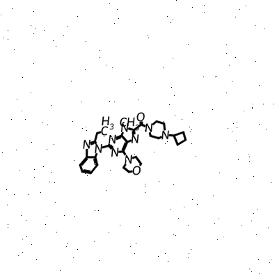 CCc1nc2ccccc2n1-c1nc(N2CCOCC2)c2nc(C(=O)N3CCN(C4CCC4)CC3)n(C)c2n1